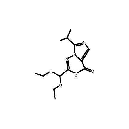 CCOC(OCC)c1nn2c(C(C)C)ncc2c(=O)[nH]1